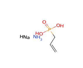 C=CCP(=O)(O)O.N.[NaH]